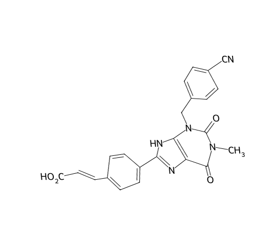 Cn1c(=O)c2nc(-c3ccc(C=CC(=O)O)cc3)[nH]c2n(Cc2ccc(C#N)cc2)c1=O